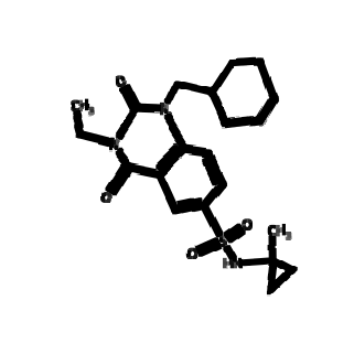 CCn1c(=O)c2cc(S(=O)(=O)NC3(C)CC3)ccc2n(CC2CCCCC2)c1=O